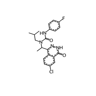 CC(C)CN(C(=O)Nc1ccc(F)cc1)C(C)c1n[nH]c(=O)c2cc(Cl)ccc12